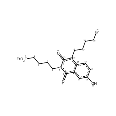 CCOC(=O)CCCCn1c(=O)c2cc(O)ccc2n(CCCCBr)c1=O